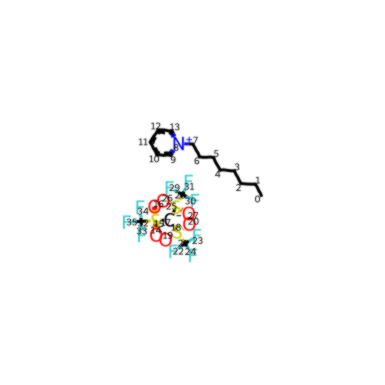 CCCCCCCC[n+]1ccccc1.O=S(=O)([C-](S(=O)(=O)C(F)(F)F)S(=O)(=O)C(F)(F)F)C(F)(F)F